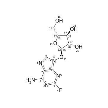 Nc1nc(F)nc2c1ncn2O[C@H]1O[C@H](CO)[C@@H](O)[C@@H]1O